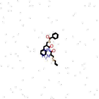 C=CCSC[C@H](N)C(=O)NC(=O)C(CSC(=O)c1ccccc1)Cc1ccccc1